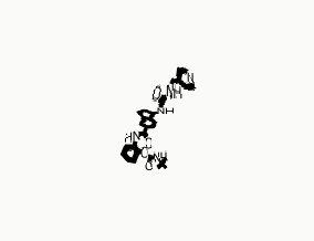 CC(C)(C)NC(=O)Oc1ccccc1NC(=O)c1ccc2c(c1)CCC2NC(=O)NCc1ccncc1